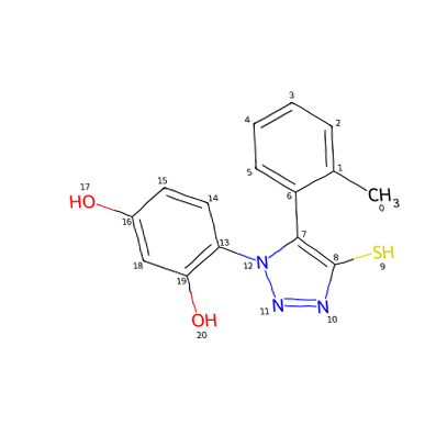 Cc1ccccc1-c1c(S)nnn1-c1ccc(O)cc1O